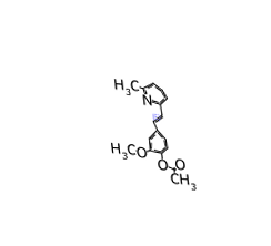 COc1cc(/C=C/c2cccc(C)n2)ccc1OC(C)=O